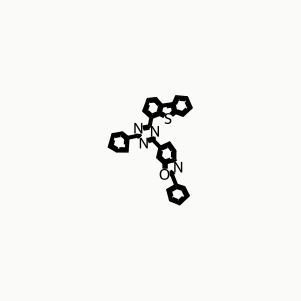 c1ccc(-c2nc(-c3ccc4nc(-c5ccccc5)oc4c3)nc(-c3cccc4c3sc3ccccc34)n2)cc1